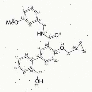 COc1cccc(CNC(=O)c2cc(-c3ccccc3CO)ccc2OCC2CC2)c1